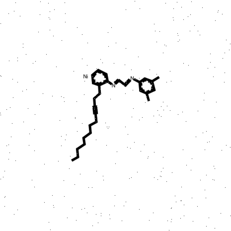 CCCCCCCCC#CCCc1ccccc1N=CC=Nc1cc(C)cc(C)c1.[Ni]